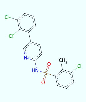 Cc1c(Cl)cccc1S(=O)(=O)Nc1ccc(-c2cccc(Cl)c2Cl)cn1